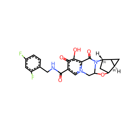 O=C(NCc1ccc(F)cc1F)c1cn2c(c(O)c1=O)C(=O)N1C(C2)OC2C[C@H]1C1C[C@@H]21